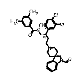 Cc1cc(C)cc(C(=O)N(C)C[C@@H](CCN2CCC3(CC2)CN(C=O)c2ccccc23)c2ccc(Cl)c(Cl)c2)c1